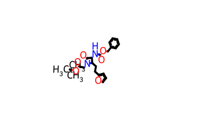 CC(C)(C)OC(=O)CN1C(=O)C(NC(=O)OCc2ccccc2)C1CCc1ccco1